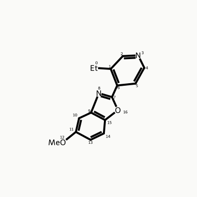 CCc1cnccc1-c1nc2cc(OC)ccc2o1